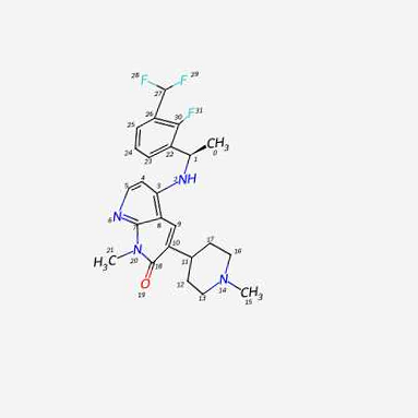 C[C@@H](Nc1ccnc2c1cc(C1CCN(C)CC1)c(=O)n2C)c1cccc(C(F)F)c1F